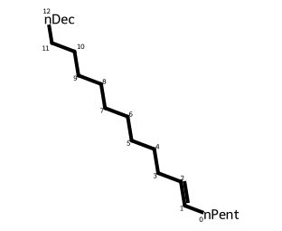 [CH2]CCCCC=CCCCCCCCCCCCCCCCCCC[CH2]